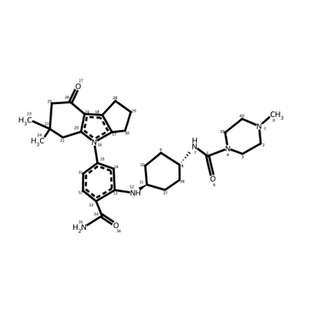 CN1CCN(C(=O)N[C@H]2CC[C@H](Nc3cc(-n4c5c(c6c4CC(C)(C)CC6=O)CCC5)ccc3C(N)=O)CC2)CC1